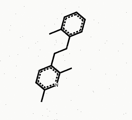 Cc1ccc(CCc2ccccc2C)c(C)n1